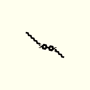 CCCCCCCCCCSc1ccc(-c2ccc(SCCCCCC)cc2)cc1